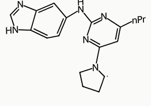 CCCc1cc(N2[CH]CCC2)nc(Nc2ccc3[nH]cnc3c2)n1